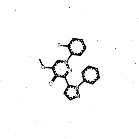 COc1cn(-c2ccccc2F)nc(-c2ccnn2-c2ccccc2)c1=O